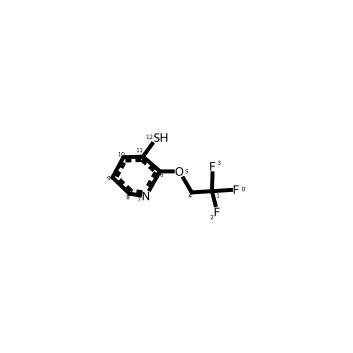 FC(F)(F)COc1ncccc1S